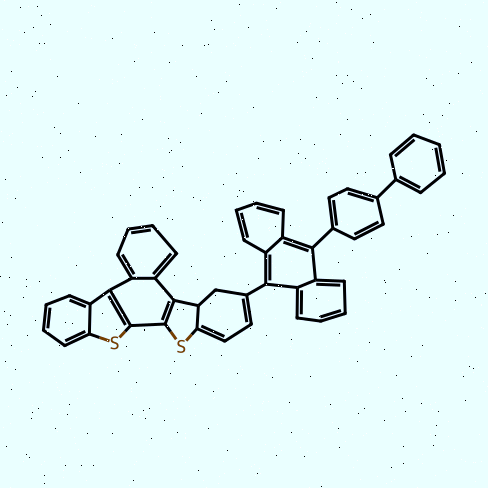 C1=C(c2c3ccccc3c(-c3ccc(-c4ccccc4)cc3)c3ccccc23)CC2C(=C1)Sc1c2c2ccccc2c2c1sc1ccccc12